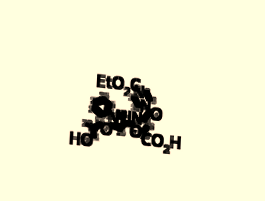 CCOC(=O)N1CCN(C(=O)[C@H](CCC(=O)O)NC(=O)c2cc(OC[C@H](C)CO)n(-c3ccccc3)n2)CC1